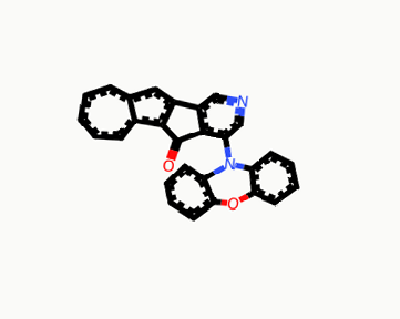 O=C1c2c3cccccc-3cc2-c2cncc(N3c4ccccc4Oc4ccccc43)c21